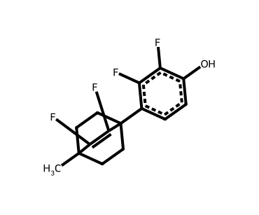 CC12CCC(c3ccc(O)c(F)c3F)(CC1)C(F)=C2F